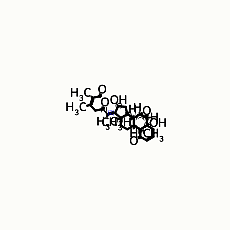 CC1=C(C)C(=O)O[C@@H](/C(C)=C2\[C@@H](O)C[C@H]3[C@@H]4[C@@H]5O[C@@H]5[C@@]5(O)CC=CC(=O)[C@]5(C)[C@H]4CC[C@]23C)C1